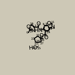 Cc1nc(C(=O)Nc2cc3ocnc3cc2C(=O)OC2(C)CCC[C@@H](CO)C2)co1